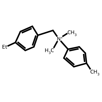 CCc1ccc(C[N+](C)(C)c2ccc(C)cc2)cc1